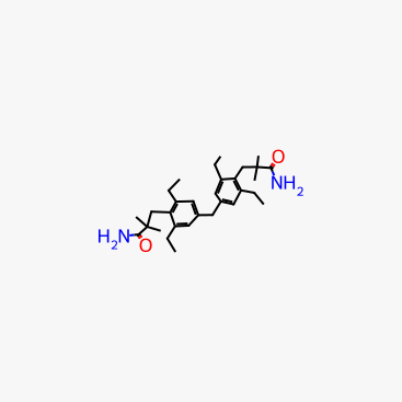 CCc1cc(Cc2cc(CC)c(CC(C)(C)C(N)=O)c(CC)c2)cc(CC)c1CC(C)(C)C(N)=O